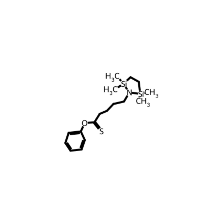 C[Si]1(C)CC[Si](C)(C)N1CCCCC(=S)Oc1ccccc1